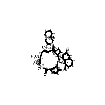 CO[C@@]1(CN2CCN3CCCC[C@@H]3C2)/C=C/C[C@H](C)[C@@H](C)S(=O)(=O)NC(=O)c2ccc3c(c2)N(C[C@@H]2CC[C@H]21)C[C@@]1(CCCc2cc(Cl)ccc21)CO3